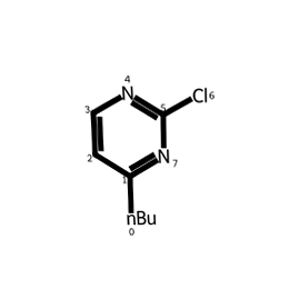 CCCCc1ccnc(Cl)n1